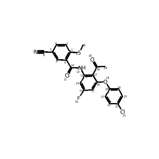 CSc1ccc(C#N)cc1C(=O)Nc1cc(F)cc(Oc2ccc(Cl)cc2)c1C(C)=O